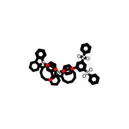 O=S(=O)(c1ccccc1)c1cc(-c2ccc(N3c4ccc(N5c6ccccc6C6CCCCC65C5CCCCCCCCC5)cc4C4CCCCC43C3CCCCCCCC3)cc2)cc(S(=O)(=O)c2ccccc2)c1